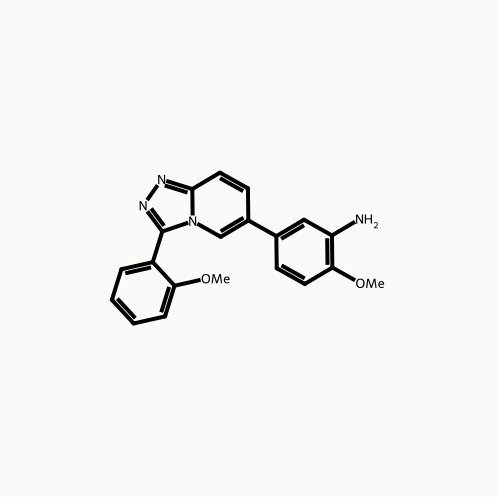 COc1ccc(-c2ccc3nnc(-c4ccccc4OC)n3c2)cc1N